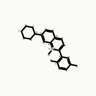 Cc1ccc(C)c(-c2ccc3ccc(C4CCCCC4)cc3[n+]2C)c1